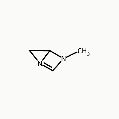 CN1C=[N+]2CC12